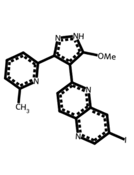 COc1[nH]nc(-c2cccc(C)n2)c1-c1ccc2ncc(I)cc2n1